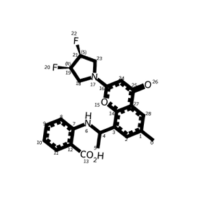 Cc1cc(C(C)Nc2ccccc2C(=O)O)c2oc(N3C[C@@H](F)[C@@H](F)C3)cc(=O)c2c1